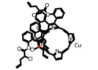 C=CCC(Cl)C(=O)Oc1ccccc1C1=CC2=CC3=NC(=CC4=NC(=CC5=NC(=C(c6ccccc6OC(=O)C(Cl)CC=C)C1=N2)C(c1ccccc1OC(=O)C(Cl)CC=C)=C5c1ccccc1OC(=O)C(Cl)CC=C)C=C4)C=C3.[Cu]